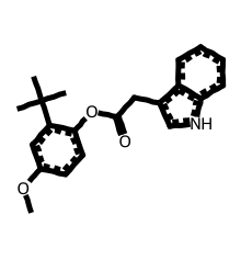 COc1ccc(OC(=O)Cc2c[nH]c3ccccc23)c(C(C)(C)C)c1